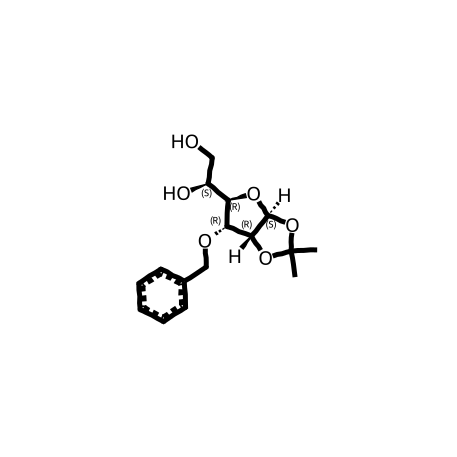 CC1(C)O[C@@H]2O[C@H]([C@@H](O)CO)[C@@H](OCc3ccccc3)[C@H]2O1